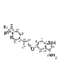 Nc1c[nH]c2ccc(OC3CC(c4ccc(C(F)(F)F)nc4)C3)cc12